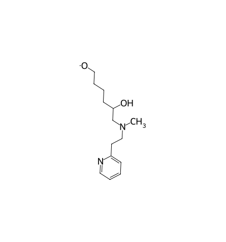 CN(CCc1ccccn1)CC(O)CCCC[O]